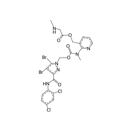 CNCC(=O)OCc1cccnc1N(C)C(=O)OCn1nc(C(=O)Nc2ccc(Cl)cc2Cl)c(Br)c1Br